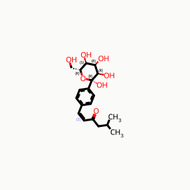 CC(C)CC(=O)/C=C\c1ccc([C@@]2(O)O[C@H](CO)[C@@H](O)[C@@H](O)[C@H]2O)cc1